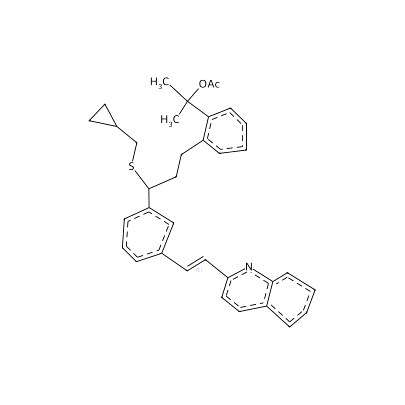 CC(=O)OC(C)(C)c1ccccc1CCC(SCC1CC1)c1cccc(/C=C/c2ccc3ccccc3n2)c1